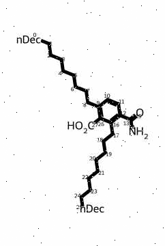 CCCCCCCCCCCCCCCCCCc1ccc(C(N)=O)c(CCCCCCCCCCCCCCCCCC)c1C(=O)O